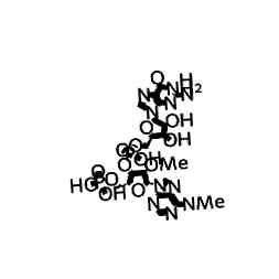 CNc1ncnc2c1ncn2[C@@H]1O[C@H](COP(=O)(O)O)C(OP(=O)(O)OC[C@H]2O[C@@H](n3cnc4c(=O)[nH]c(N)nc43)[C@@H](O)C2O)[C@@H]1OC